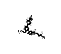 CCCC(Oc1ccc(C(=O)NCCC(=O)O)cc1)c1ccc(-c2ccc(C(F)(F)F)cn2)cc1